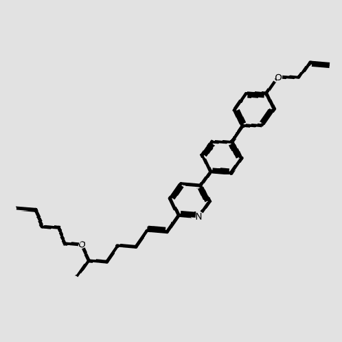 C=CCOc1ccc(-c2ccc(-c3ccc(C=CCCCC(C)OCCCCC)nc3)cc2)cc1